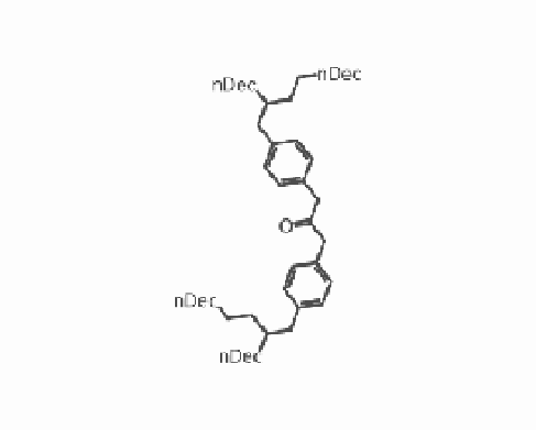 CCCCCCCCCCCCC(CCCCCCCCCC)Cc1ccc(CC(=O)Cc2ccc(CC(CCCCCCCCCC)CCCCCCCCCCCC)cc2)cc1